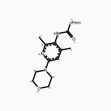 CCCCCC(=O)Nc1c(C)cc(N2CCOCC2)nc1C